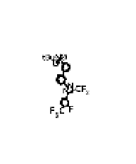 CC(C)(C)NS(=O)(=O)c1cccc(-c2cccc(-c3nc(-c4ccc(C(F)(F)F)c(F)c4)cc(C(F)(F)F)n3)c2)c1